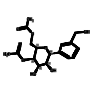 CC(=O)OC[C@H]1O[C@H](c2cccc(CO)c2)[C@@H](O)[C@@H](O)[C@H]1OC(C)=O